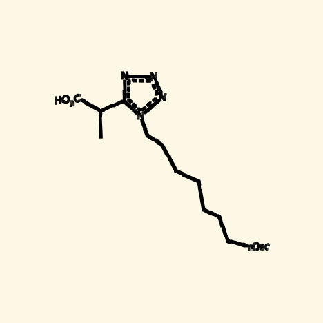 CCCCCCCCCCCCCCCCCn1nnnc1C(C)C(=O)O